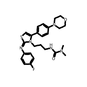 CN(C)C(=O)NCCCn1c(-c2ccc(N3CCOCC3)cc2)cs/c1=N/c1ccc(F)cc1